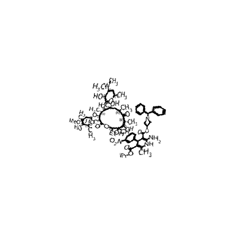 CC1=C(C(=O)OC(C)C)C(c2cccc([N+](=O)[O-])c2)C(C(=O)OC2CN(C(c3ccccc3)c3ccccc3)C2)=C(N)N1.CC[C@H]1OC(=O)[C@H](C)[C@@H](O[C@H]2C[C@@](C)(OC)[C@@H](O)[C@H](C)O2)[C@H](C)[C@@H](O[C@@H]2O[C@H](C)C[C@H](N(C)C)[C@H]2O)[C@](C)(O)C[C@@H](C)C(=O)[C@H](C)[C@@H](O)[C@]1(C)O